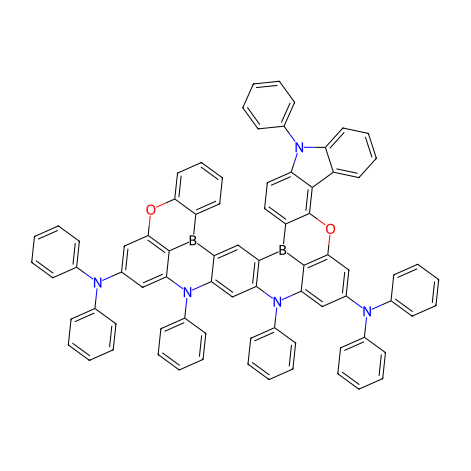 c1ccc(N(c2ccccc2)c2cc3c4c(c2)N(c2ccccc2)c2cc5c(cc2B4c2ccccc2O3)B2c3ccc4c(c3Oc3cc(N(c6ccccc6)c6ccccc6)cc(c32)N5c2ccccc2)c2ccccc2n4-c2ccccc2)cc1